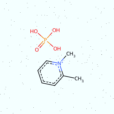 Cc1cccc[n+]1C.O=P(O)(O)O